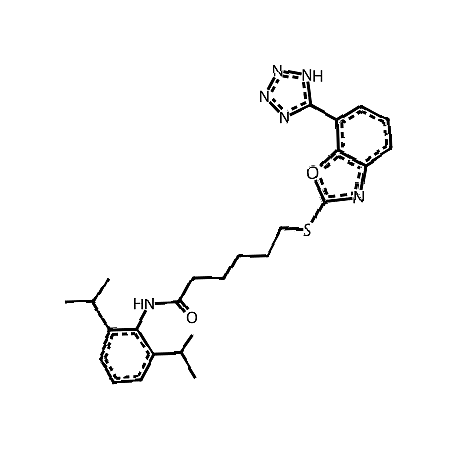 CC(C)c1cccc(C(C)C)c1NC(=O)CCCCCSc1nc2cccc(-c3nnn[nH]3)c2o1